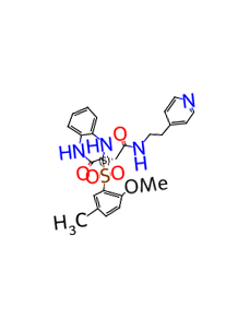 COc1ccc(C)cc1S(=O)(=O)[C@]1(CC(=O)NCCc2ccncc2)Nc2ccccc2NC1=O